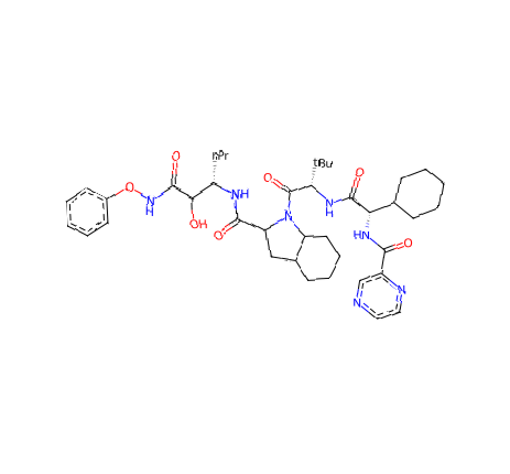 CCC[C@H](NC(=O)C1CC2CCCCC2N1C(=O)[C@@H](NC(=O)[C@@H](NC(=O)c1cnccn1)C1CCCCC1)C(C)(C)C)C(O)C(=O)NOc1ccccc1